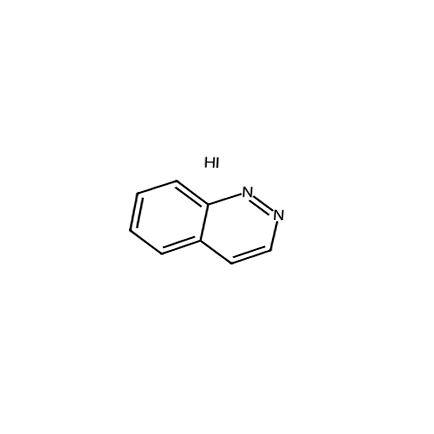 I.c1ccc2nnccc2c1